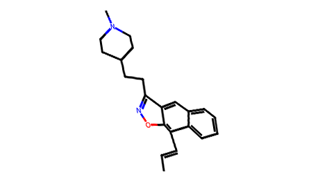 C/C=C/c1c2ccccc2cc2c(CCC3CCN(C)CC3)noc12